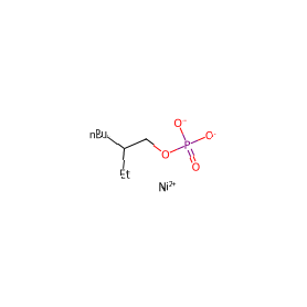 CCCCC(CC)COP(=O)([O-])[O-].[Ni+2]